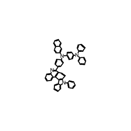 c1ccc(N(c2ccccc2)c2ccc(N(c3ccc(-c4nc5ccccc5c5c4ccc4c5c5ccccc5n4-c4ccccc4)cc3)c3ccc4ccccc4c3)cc2)cc1